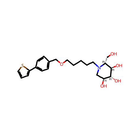 OC[C@@H]1[C@@H](O)[C@H](O)[C@@H](O)CN1CCCCCOCc1ccc(-c2cccs2)cc1